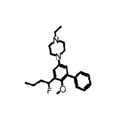 CCCC(F)c1cc(N2CCN(CC)CC2)cc(-c2ccccc2)c1OC